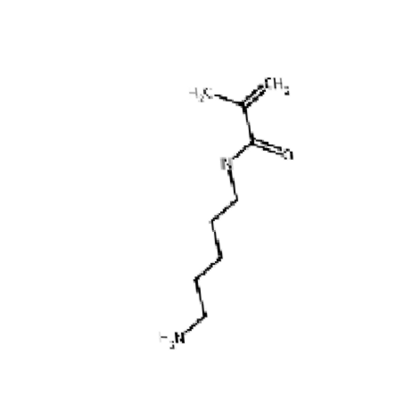 C=C(C)C(=O)NCCCCCN